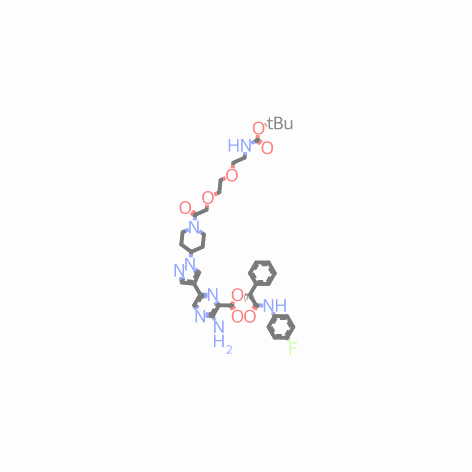 CC(C)(C)OC(=O)NCCOCCOCC(=O)N1CCC(n2cc(-c3cnc(N)c(C(=O)O[C@@H](C(=O)Nc4ccc(F)cc4)c4ccccc4)n3)cn2)CC1